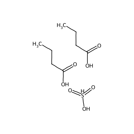 CCCC(=O)O.CCCC(=O)O.O=[SH](=O)O